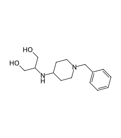 OCC(CO)NC1CCN(Cc2ccccc2)CC1